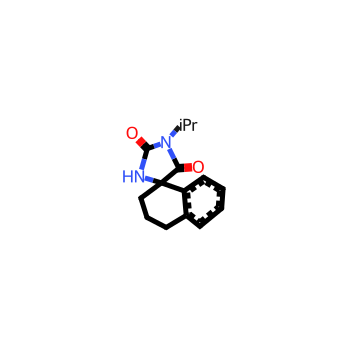 CC(C)N1C(=O)NC2(CCCc3ccccc32)C1=O